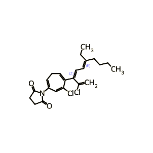 C=C(Cl)/C(=C\C=C(/CC)CCCC)C1=CCC=C(N2C(=O)CCC2=O)C=C1Cl